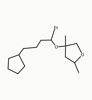 CCC(CCCC1CCCC1)OC1(C)COC(C)C1